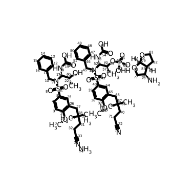 COc1ccc(S(=O)(=O)N(Cc2ccccc2)[C@H](NC(=O)O)[C@@H](C)O)cc1CC(C)(C)CCC#N.COc1ccc(S(=O)(=O)N(Cc2ccccc2)[C@H](NC(=O)O)[C@H](C)OP(=O)(O)O)cc1CC(C)(C)CCC#N.N.N[C@H]1CO[C@H]2OCC[C@H]21